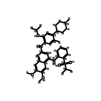 COc1cc2nc(Nc3cc(C)c(C4CCN(C)CC4)cc3OC(C)C)nc(Nc3ccccc3S(=O)(=O)C(C)C)c2cc1OC